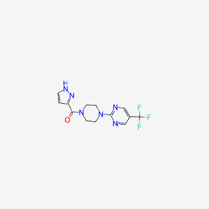 O=C(c1cc[nH]n1)N1CCN(c2ncc(C(F)(F)F)cn2)CC1